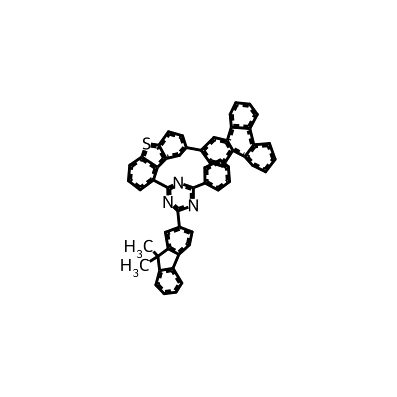 CC1(C)c2ccccc2-c2ccc(-c3nc(-c4ccccc4)nc(-c4cccc5sc6ccc(-c7ccc8c9ccccc9c9ccccc9c8c7)cc6c45)n3)cc21